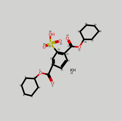 O=C(OC1CCCCC1)c1ccc(C(=O)OC2CCCCC2)c(S(=O)(=O)O)c1.[KH]